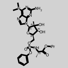 CC(C)OC(=O)[C@H](C)NP(=O)(OC[C@H]1O[C@@H](n2cnc3c(N(C)C)nc(N)nc32)[C@](C)(O)[C@@H]1O)Oc1ccccc1